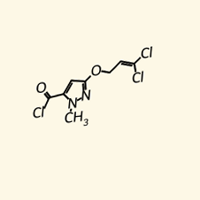 Cn1nc(OCC=C(Cl)Cl)cc1C(=O)Cl